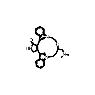 CN(C)CC1CCn2cc(c3ccccc32)C2=C(C(=O)NC2)c2cn(c3ccccc23)CCO1